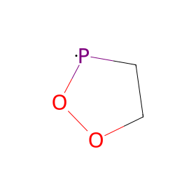 C1C[P]OO1